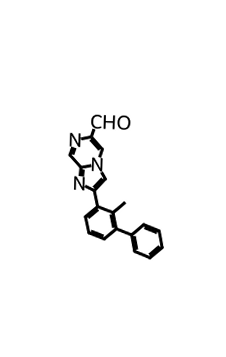 Cc1c(-c2ccccc2)cccc1-c1cn2cc(C=O)ncc2n1